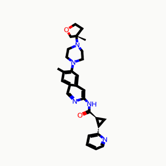 Cc1cc2cnc(NC(=O)[C@H]3C[C@@H]3c3ccccn3)cc2cc1N1CCN([C@@]2(C)CCOC2)CC1